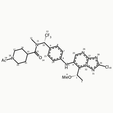 CO[C@@H](C)c1c(Nc2ccc([C@H](N(C)C(=O)C3CCN(C(C)=O)CC3)C(F)(F)F)cc2)cnc2nc(Cl)nn12